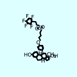 C[C@]12C[C@H](c3ccc(OCCCCCS(=O)(=O)CCCc4c(F)c(F)c(F)c(F)c4F)cc3)[C@@H]3c4ccc(O)cc4CC[C@H]3[C@@H]1CC[C@@H]2O